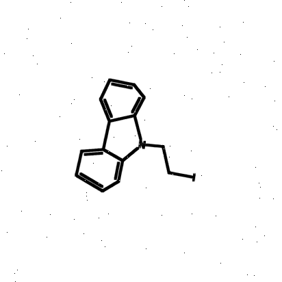 ICCn1c2ccccc2c2ccccc21